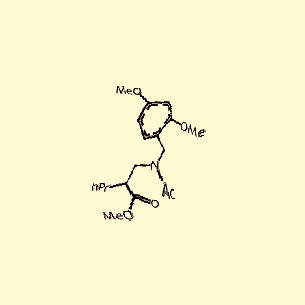 CCCC(CN(Cc1ccc(OC)cc1OC)C(C)=O)C(=O)OC